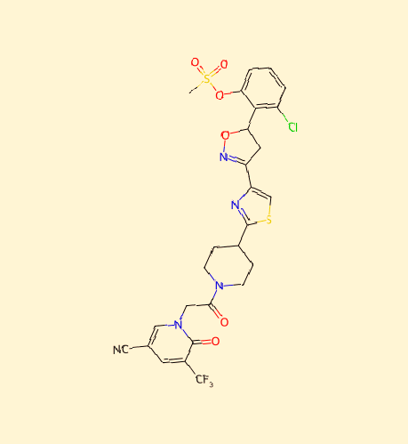 CS(=O)(=O)Oc1cccc(Cl)c1C1CC(c2csc(C3CCN(C(=O)Cn4cc(C#N)cc(C(F)(F)F)c4=O)CC3)n2)=NO1